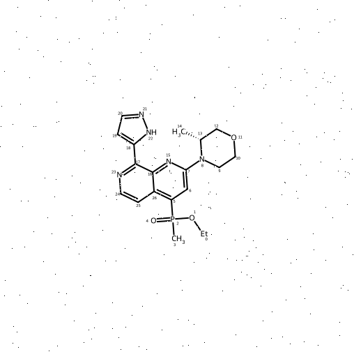 CCOP(C)(=O)c1cc(N2CCOC[C@H]2C)nc2c(-c3ccn[nH]3)nccc12